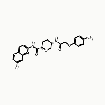 O=C(COc1ccc(C(F)(F)F)cc1)N[C@H]1CC[C@H](C(=O)Nc2ccc3ccc(Cl)cc3n2)OC1